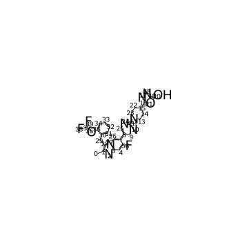 Cc1nc2cc(F)c(-c3cnc(N4CCC(c5nnc(O)o5)CC4)nc3)cn2c1Cc1ccccc1OC(F)F